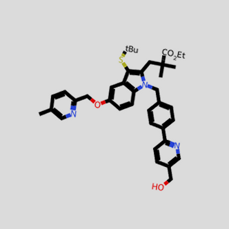 CCOC(=O)C(C)(C)Cc1c(SC(C)(C)C)c2cc(OCc3ccc(C)cn3)ccc2n1Cc1ccc(-c2ccc(CO)cn2)cc1